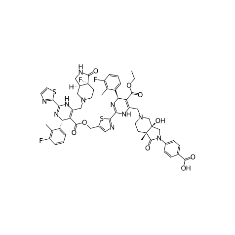 CCOC(=O)C1=C(CN2CC[C@@]3(C)C(=O)N(c4ccc(C(=O)O)cc4)C[C@@]3(O)C2)NC(c2ncc(COC(=O)C3=C(CN4CC[C@]5(F)C(=O)NC[C@@H]5C4)NC(c4nccs4)=N[C@H]3c3cccc(F)c3C)s2)=N[C@H]1c1cccc(F)c1C